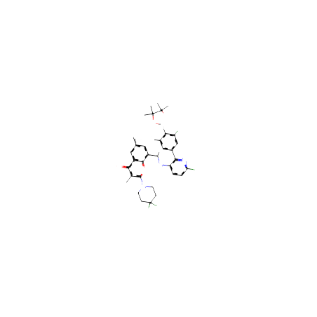 Cc1cc(C(C)Nc2ccc(Cl)nc2-c2cc(F)c(B3OC(C)(C)C(C)(C)O3)c(C=O)c2)c2oc(N3CCC(F)(F)CC3)c(C)c(=O)c2c1